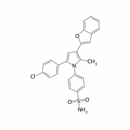 Cc1c(-c2cc3ccccc3o2)cc(-c2ccc(Cl)cc2)n1-c1ccc(S(N)(=O)=O)cc1